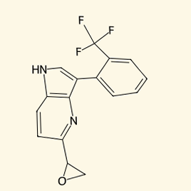 FC(F)(F)c1ccccc1-c1c[nH]c2ccc(C3CO3)nc12